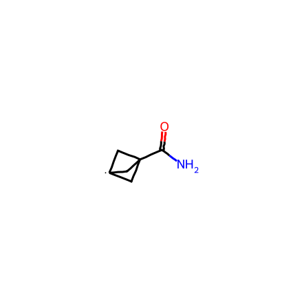 NC(=O)C12C[C](C1)C2